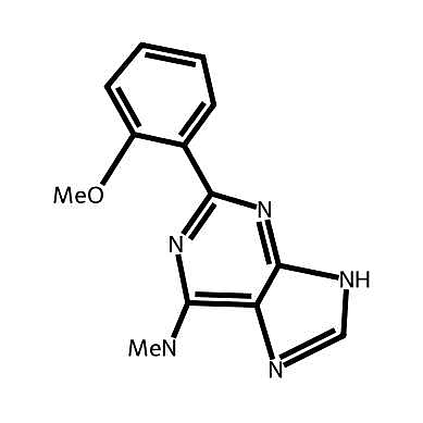 CNc1nc(-c2ccccc2OC)nc2[nH]cnc12